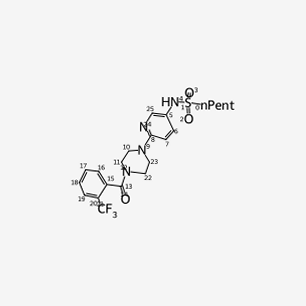 CCCCCS(=O)(=O)Nc1ccc(N2CCN(C(=O)c3ccccc3C(F)(F)F)CC2)nc1